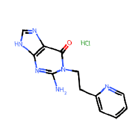 Cl.Nc1nc2[nH]cnc2c(=O)n1CCc1ccccn1